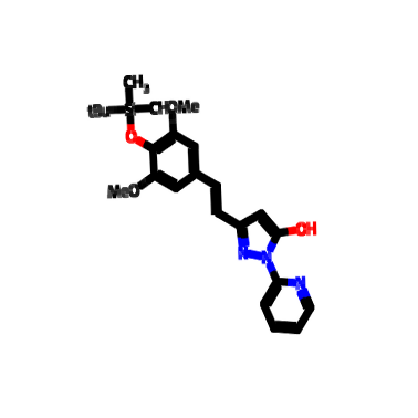 COc1cc(C=Cc2cc(O)n(-c3ccccn3)n2)cc(OC)c1O[Si](C)(C)C(C)(C)C